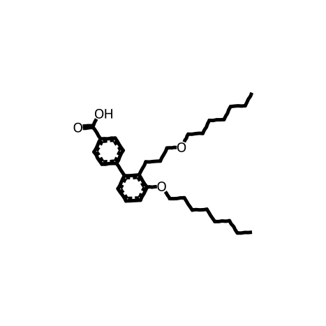 CCCCCCCCOc1cccc(-c2ccc(C(=O)O)cc2)c1CCCOCCCCCCC